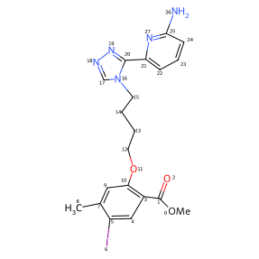 COC(=O)c1cc(I)c(C)cc1OCCCCn1cnnc1-c1cccc(N)n1